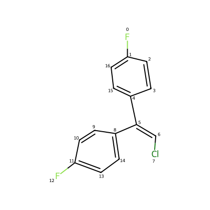 Fc1ccc(C(=CCl)c2ccc(F)cc2)cc1